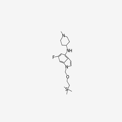 CN1CCC(Nc2cc(F)cc3c2ccn3COCC[Si](C)(C)C)CC1